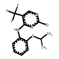 CC(C)Sc1ccccc1Nc1nc(Cl)ncc1C(F)(F)F